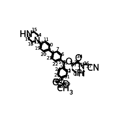 CC(C)C[C@H](O[C@H](c1ccc(-c2ccc(N3CCNCC3)cc2)cc1)c1ccc(S(C)(=O)=O)cc1)C(=O)NCC#N